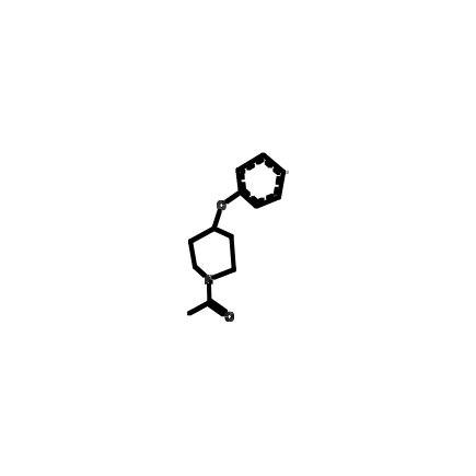 CC(=O)N1CCC(Oc2cc[c]cc2)CC1